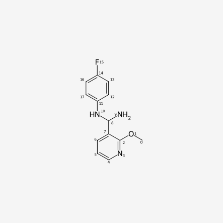 COc1ncccc1C(N)Nc1ccc(F)cc1